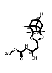 CC(C)(C)OC(=O)N[C@H](C#N)CB1O[C@H]2C[C@H]3C[C@H](C3(C)C)[C@@]2(C)O1